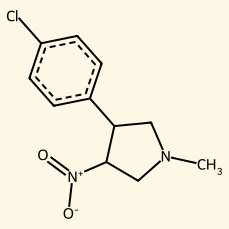 CN1CC(c2ccc(Cl)cc2)C([N+](=O)[O-])C1